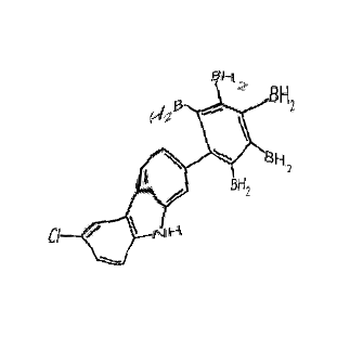 Bc1c(B)c(B)c(-c2ccc3c(c2)[nH]c2ccc(Cl)cc23)c(B)c1B